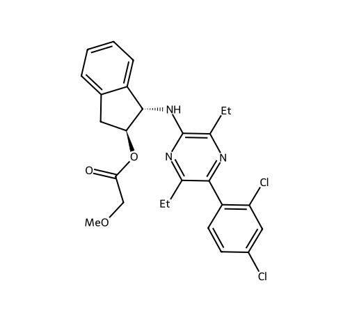 CCc1nc(-c2ccc(Cl)cc2Cl)c(CC)nc1N[C@H]1c2ccccc2C[C@@H]1OC(=O)COC